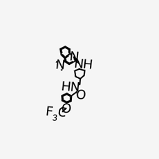 CN(C)c1cc(NC2CCC(CNC(=O)c3cccc(OC(F)(F)F)c3)CC2)nc2ccccc12